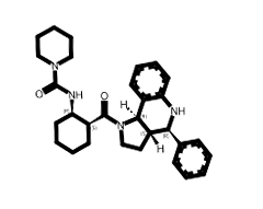 O=C(N[C@@H]1CCCC[C@@H]1C(=O)N1CC[C@H]2[C@H](c3ccccc3)Nc3ccccc3[C@@H]21)N1CCCCC1